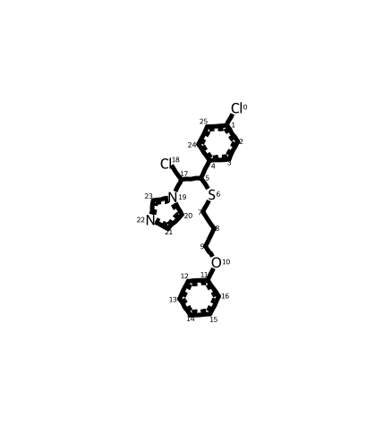 Clc1ccc(C(SCCCOc2ccccc2)C(Cl)n2ccnc2)cc1